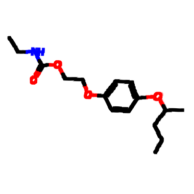 CCCC(C)Oc1ccc(OCCOC(=O)NCC)cc1